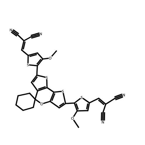 COc1cc(C=C(C#N)C#N)sc1-c1cc2c(s1)-c1sc(-c3sc(C=C(C#N)C#N)cc3OC)cc1C1(CCCCC1)O2